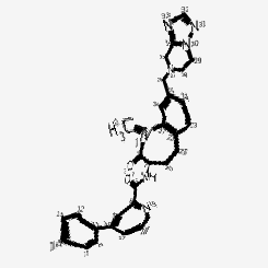 CN1C(=O)[C@H](NC(=O)c2cc(-c3ccccc3)ccn2)CCc2ccc(CN3CCn4ncnc4C3)cc21